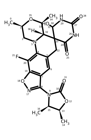 C[C@@H]1CN2c3c(cc4c(N5C(=O)O[C@@H](C)[C@H]5C)noc4c3F)CC3(C(=O)NC(=O)NC3O)[C@H]2[C@H](C)O1